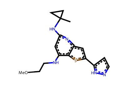 COCCNc1cc(NC2(C)CC2)nc2cc(-c3ccn[nH]3)sc12